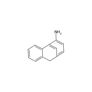 Nc1ccc2cc1-c1ccccc1C2